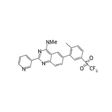 CNc1nc(-c2cccnc2)nc2ccc(-c3cc(S(=O)(=O)C(F)(F)F)ccc3C)cc12